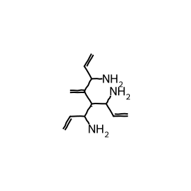 C=CC(N)[C](C(=C)C(N)C=C)C(N)C=C